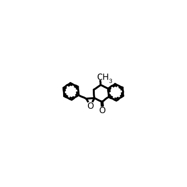 CC1CC2(OC2c2ccccc2)C(=O)c2ccccc21